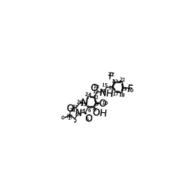 C[C@@H]1CN2C(=O)c3c(O)c(=O)c(C(=O)NCc4ccc(F)cc4F)cn3CC2O1